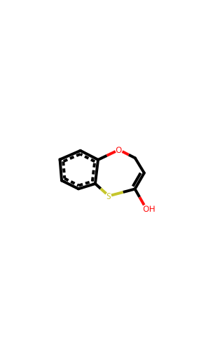 OC1=CCOc2ccccc2S1